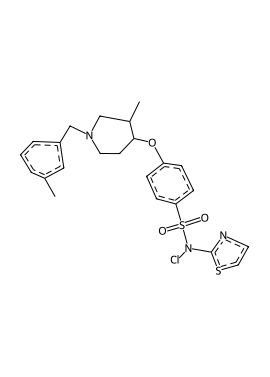 Cc1cccc(CN2CCC(Oc3ccc(S(=O)(=O)N(Cl)c4nccs4)cc3)C(C)C2)c1